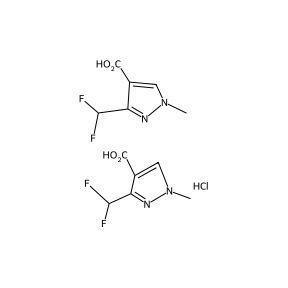 Cl.Cn1cc(C(=O)O)c(C(F)F)n1.Cn1cc(C(=O)O)c(C(F)F)n1